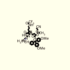 COc1ccc(C(OC[C@H]2O[C@@H](n3nc(CCCNC(=O)C(F)(F)F)c4c(=O)[nH]c(/N=C/N(C)C)nc43)CC2OP(C)OCCC#N)(c2ccccc2)c2ccc(OC)cc2)cc1